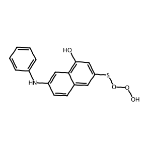 OOOSc1cc(O)c2cc(Nc3ccccc3)ccc2c1